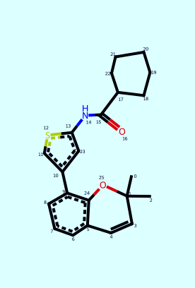 CC1(C)C=Cc2cccc(-c3csc(NC(=O)C4CCCCC4)c3)c2O1